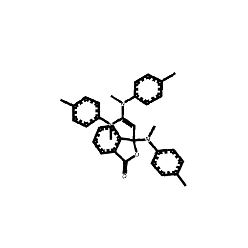 Cc1ccc(N(C)C(=CC2(N(C)c3ccc(C)cc3)OC(=O)c3ccccc32)N(C)c2ccc(C)cc2)cc1